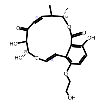 CC1/C=C\C(=O)C(O)[C@@H](O)C/C=C/c2c(OCCO)ccc(O)c2C(=O)O[C@H]1C